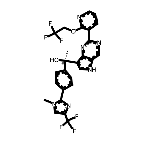 Cn1cc(C(F)(F)F)nc1-c1ccc([C@@](C)(O)c2c[nH]c3cnc(-c4cccnc4OCC(F)(F)F)nc23)cc1